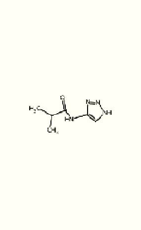 CC(C)C(=O)Nc1c[nH]nn1